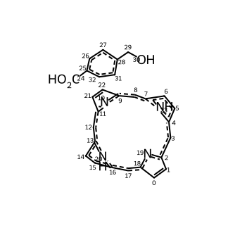 C1=Cc2cc3ccc(cc4nc(cc5ccc(cc1n2)[nH]5)C=C4)[nH]3.O=C(O)c1ccc(CO)cc1